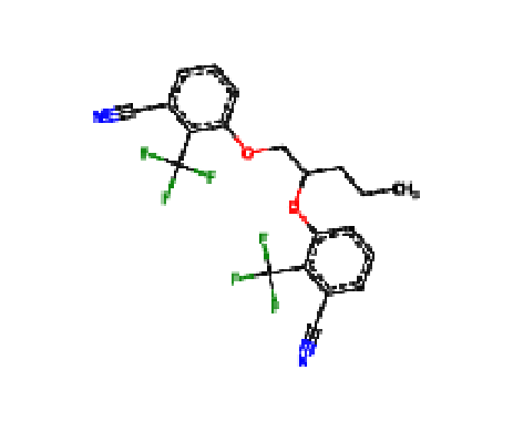 CCCC(COc1cccc(C#N)c1C(F)(F)F)Oc1cccc(C#N)c1C(F)(F)F